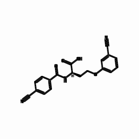 N#Cc1ccc(C(=O)N[C@H](CCOc2cccc(C#N)c2)C(=O)O)cc1